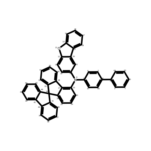 c1ccc(-c2ccc(N(c3ccc4oc5ccccc5c4c3)c3cccc4c3-c3ccccc3C43c4ccccc4-c4ccccc43)cc2)cc1